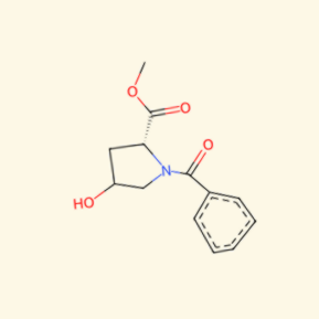 COC(=O)[C@H]1CC(O)CN1C(=O)c1ccccc1